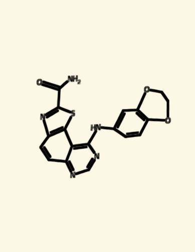 NC(=O)c1nc2ccc3ncnc(Nc4ccc5c(c4)OCCO5)c3c2s1